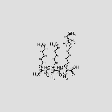 C=C(OCCCCCC)C(=O)O.C=C(OCCCCCC)C(=O)O.C=C(OCCCCCC)C(=O)O.C=C[SiH3]